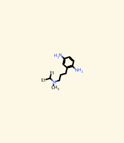 CCC(CC)N(C)CCCc1cc(N)ccc1N